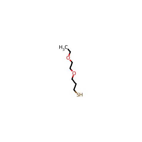 CCOCCOCCCS